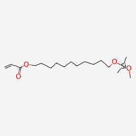 C=CC(=O)OCCCCCCCCCCCO[Si](C)(C)OC